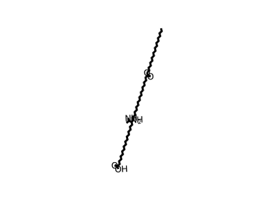 CCCCCCCCCCCCCCCCCCOC(=O)CCCCCCCCCCCCCCCCCNC(CCCCCCCCCCCCCCCCCC(=O)O)C(C)N